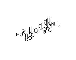 Nc1nc(=O)c2c([nH]1)NCC(CNc1ccc(C(=O)N[C@@H](CCC(=O)O)C3OC3O)cc1)N2C=O